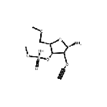 B[C@@H]1O[C@H](COC)[C@H](OP(=O)(O)OC)C1OC#C